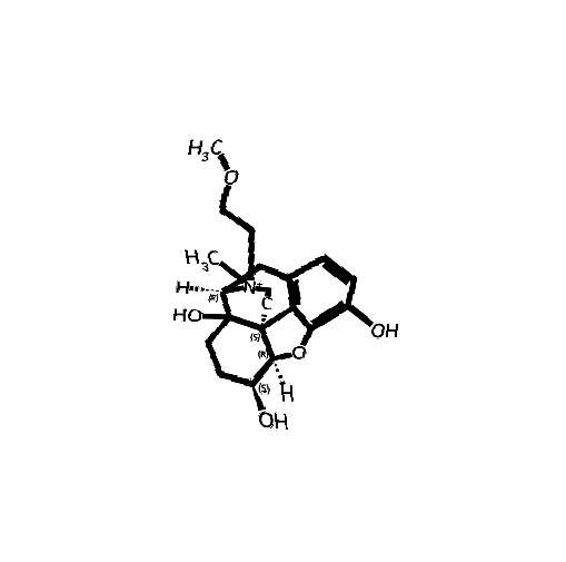 COCC[N+]1(C)CC[C@]23c4c5ccc(O)c4O[C@H]2[C@@H](O)CCC3(O)[C@H]1C5